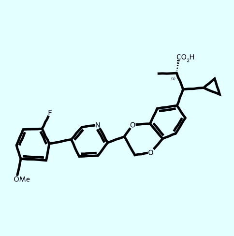 COc1ccc(F)c(-c2ccc(C3COc4ccc(C(C5CC5)[C@H](C)C(=O)O)cc4O3)nc2)c1